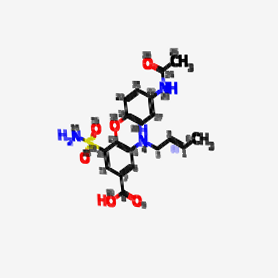 C/C=C/CNc1cc(C(=O)O)cc(S(N)(=O)=O)c1Oc1ccc(NC(C)=O)cc1